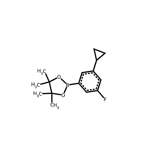 CC1(C)OB(c2cc(F)cc(C3CC3)c2)OC1(C)C